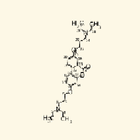 CCN(CC)CCCOc1ccc2c(c1)oc(=O)c1cc(OCCCN(CC)CC)ccc12